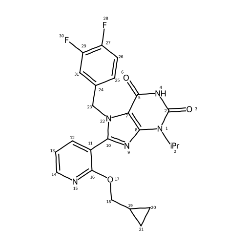 CC(C)n1c(=O)[nH]c(=O)c2c1nc(-c1cccnc1OCC1CC1)n2Cc1ccc(F)c(F)c1